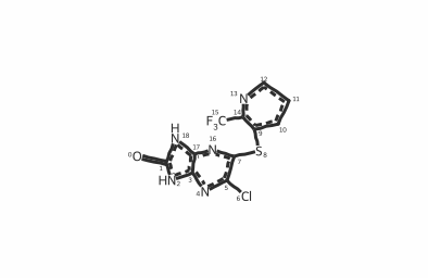 O=c1[nH]c2nc(Cl)c(Sc3cccnc3C(F)(F)F)nc2[nH]1